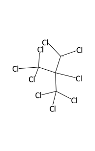 Cl[C](Cl)C(Cl)(C(Cl)(Cl)Cl)C(Cl)(Cl)Cl